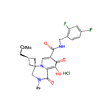 COC[C@H]1C[C@@]2(CN(C(C)C)C(=O)c3c(O)c(=O)c(C(=O)NCc4ccc(F)cc4F)cn32)C1.Cl